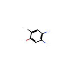 Cc1cc(N)c(N)cc1O